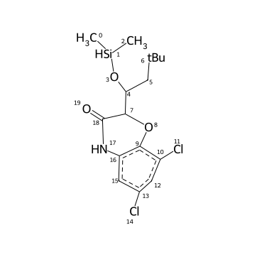 C[SiH](C)OC(CC(C)(C)C)C1Oc2c(Cl)cc(Cl)cc2NC1=O